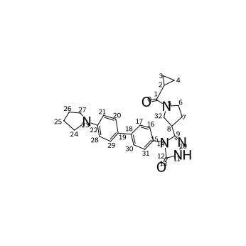 O=C(C1CC1)N1CCC(c2n[nH]c(=O)n2-c2ccc(-c3ccc(N4CCCC4)cc3)cc2)C1